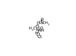 Cc1cc(O[C@@H]2CC(=O)N(C)C2)cc2c(=O)[nH]c(-c3cc4sccc4cn3)nc12